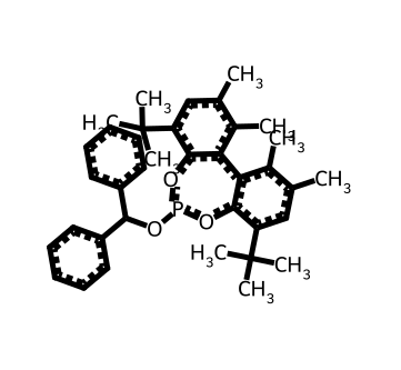 Cc1cc(C(C)(C)C)c2op(OC(c3ccccc3)c3ccccc3)oc3c(C(C)(C)C)cc(C)c(C)c3c2c1C